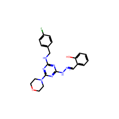 Oc1ccccc1/C=N/Nc1nc(NCc2ccc(F)cc2)nc(N2CCOCC2)n1